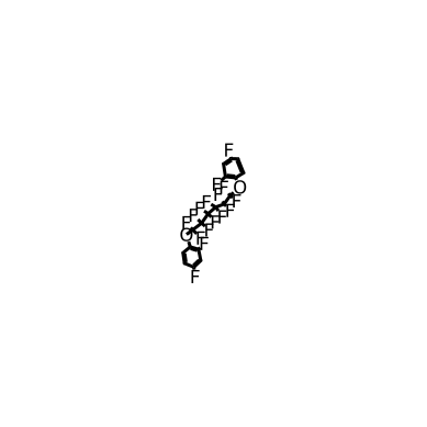 Fc1ccc(OC(F)(F)C(F)(F)C(F)(F)C(F)(F)C(F)(F)C(F)(F)Oc2ccc(F)cc2F)c(F)c1